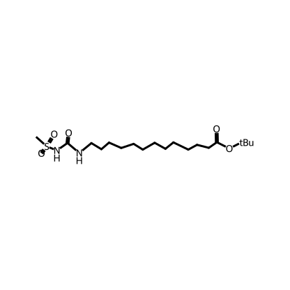 CC(C)(C)OC(=O)CCCCCCCCCCCCNC(=O)NS(C)(=O)=O